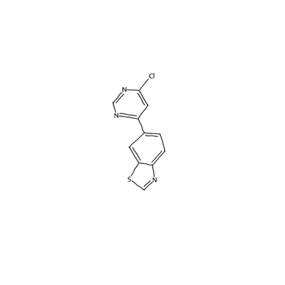 Clc1cc(-c2ccc3ncsc3c2)ncn1